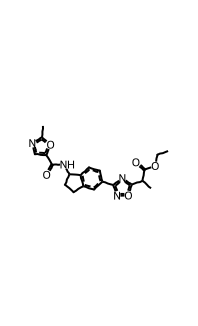 CCOC(=O)C(C)c1nc(-c2ccc3c(c2)CCC3NC(=O)c2cnc(C)o2)no1